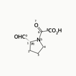 O=C[C@H]1CCCN1C(=O)C(=O)O